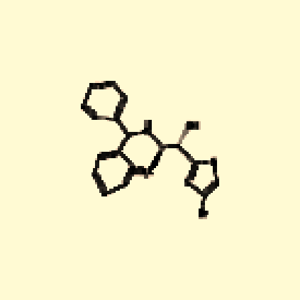 CCOC(=O)[C@@H](NC(c1ccccc1)c1ccccc1)[C@H](O)c1nc(Br)cs1